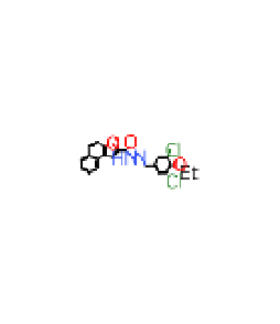 CCOc1c(Cl)cc(/C=N/NC(=O)c2cc3c(ccc4ccccc43)o2)cc1Cl